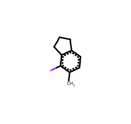 Cc1ccc2c(c1I)CCC2